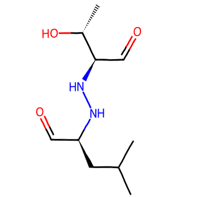 CC(C)C[C@@H](C=O)NN[C@H](C=O)[C@@H](C)O